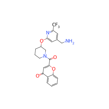 NCc1cc(OC2CCCN(C(=O)c3cc(=O)c4ccccc4o3)C2)nc(C(F)(F)F)c1